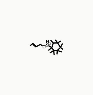 CC=CCO[SiH2]C1(C)C(C)C(C)(C)C(C)(C)C(C)(C)C1(C)C